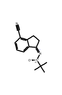 CC(C)(C)[S@@+]([O-])/N=C1/CCc2c(C#N)cccc21